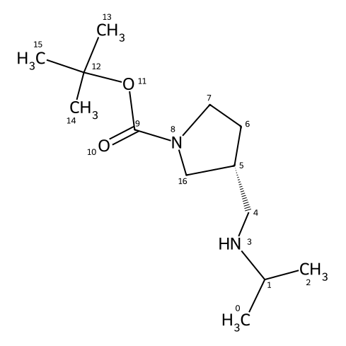 CC(C)NC[C@H]1CCN(C(=O)OC(C)(C)C)C1